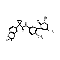 CCn1cc(C)cc(-c2nc(NC(=O)C3(c4ccc5c(c4)OC(F)(F)O5)CC3)ccc2C)c1=O